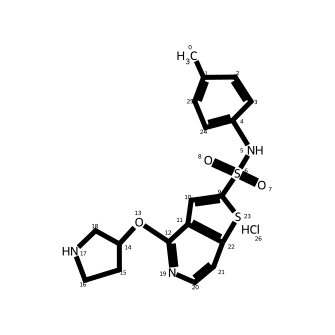 Cc1ccc(NS(=O)(=O)c2cc3c(OC4CCNC4)nccc3s2)cc1.Cl